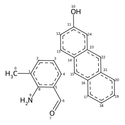 Cc1cccc(C=O)c1N.Oc1ccc2cc3ccccc3cc2c1